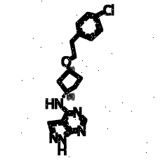 Clc1ccc(CCO[C@H]2CC[C@H](Nc3ncnc4[nH]ncc34)C2)cc1